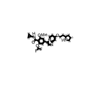 COc1cc(-c2cnc3cc(OCCC4CCCN4)ccn23)cc(OC(F)F)c1C(=O)NC1CC1